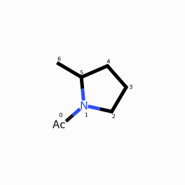 CC(=O)N1CCCC1C